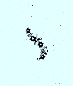 O=C(Nc1ccc(-n2c(=O)[nH]c3cc(NCc4csc(Cl)c4)ccc3c2=O)cc1)NS(=O)(=O)c1ccc(Cl)s1